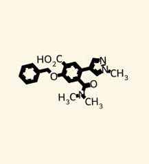 CN(C)C(=O)c1cc(OCc2ccccc2)c(C(=O)O)cc1-c1cnn(C)c1